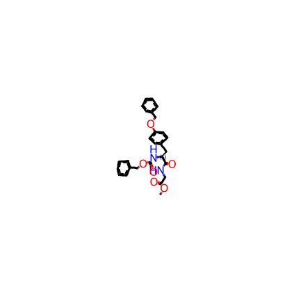 COC(=O)CNC(=O)[C@H](Cc1ccc(OCc2ccccc2)cc1)NC(=O)OCc1ccccc1